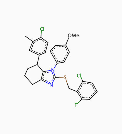 COc1ccc(-n2c(SCc3c(F)cccc3Cl)nc3c2C(c2ccc(Cl)c(C)c2)CCC3)cc1